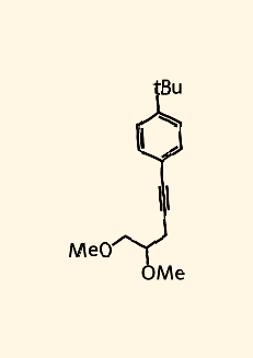 COCC(CC#Cc1ccc(C(C)(C)C)cc1)OC